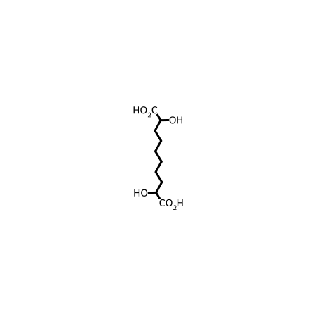 O=C(O)C(O)CCCCCCC(O)C(=O)O